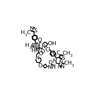 Cc1ncsc1-c1ccc([C@H](C)NC(=O)[C@@H]2C[C@@H](O)CN2C(=O)[C@H](NC(=O)CN2CCC(O[C@H]3C[C@H](NC(=O)C[C@@H]4N=C(C5=CCC(Cl)C=C5)c5c(sc(C)c5C)-n5c(C)nnc54)C3)CC2)C(C)(C)C)cc1